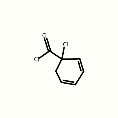 O=C(Cl)C1(Cl)C=CC=CC1